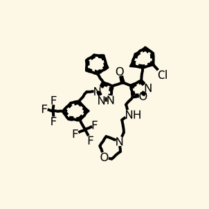 O=C(c1nnn(Cc2cc(C(F)(F)F)cc(C(F)(F)F)c2)c1-c1ccccc1)c1c(-c2ccccc2Cl)noc1CNCCN1CCOCC1